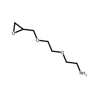 NCCOCCOCC1CO1